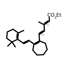 CCOC(=O)/C=C(C)/C=C/C1=C(C=CC2=C(C)CCCC2(C)C)CCCCC1